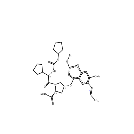 C/C=C/c1cc2c(O[C@@H]3C[C@@H](C(=O)OC)N(C(=O)[C@@H](NC(=O)OC4CCCC4)C4CCCC4)C3)cc(OCC)nc2cc1OC